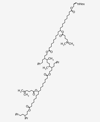 CCCCCC/C=C\COC(=O)CCCCCCCCCC(CCCCCCCCCC(=O)OCCC(CCC(C)C)C(C)CCC(C)C(CCOC(=O)CCCCCCCC(CCCCCCCC(=O)OCCC(CCC(C)C)C(C)C)OC(=O)CCCN(C)C)CCC(C)C)OC(=O)CCCN(C)C